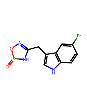 O=S1NC(Cc2c[nH]c3ccc(Br)cc23)=NO1